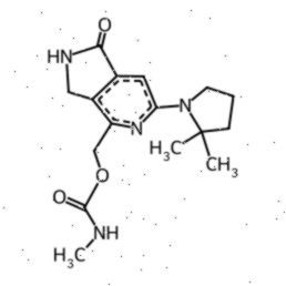 CNC(=O)OCc1nc(N2CCCC2(C)C)cc2c1CNC2=O